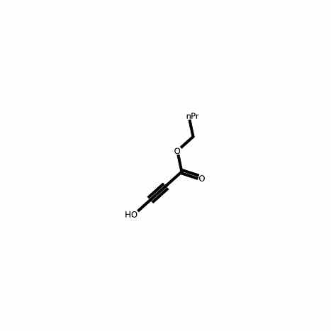 CCCCOC(=O)C#CO